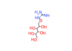 N=C(N)NOCC(O)C(O)C(O)C(O)CO